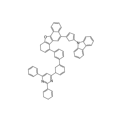 C1=CC(c2cc(-c3ccccc3)nc(C3=CCCC=C3)n2)CC(c2cccc(C3=CCCc4oc5c(cc(C6=CC=C(n7c8ccccc8c8ccccc87)C6)c6ccccc65)c43)c2)=C1